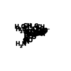 Cn1c(COC(=O)C(OC(=O)OC(C)(C)C)[C@H]2O[C@@H](n3ccc(N)nc3=O)C(F)(F)[C@@H]2OC(=O)OC(C)(C)C)cnc1[N+](=O)[O-]